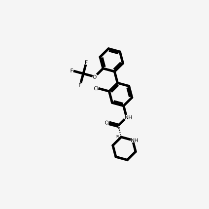 O=C(Nc1ccc(-c2ccccc2OC(F)(F)F)c(Cl)c1)[C@H]1CCCCN1